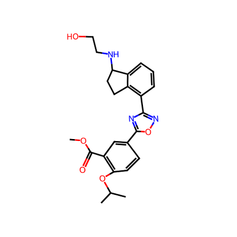 COC(=O)c1cc(-c2nc(-c3cccc4c3CCC4NCCO)no2)ccc1OC(C)C